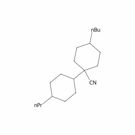 CCCCC1CCC(C#N)(C2CCC(CCC)CC2)CC1